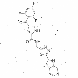 O=C(NCc1nnc(-c2cc3ccncn3n2)s1)c1cc(C(=O)c2c(F)cc(F)cc2F)c[nH]1